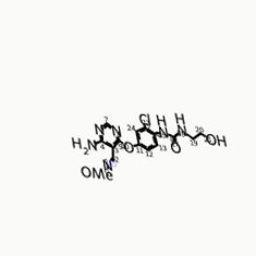 CO/N=C/c1c(N)ncnc1Oc1ccc(NC(=O)NCCO)c(Cl)c1